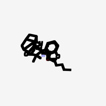 CCCCCC/N=C/O[C@]12CC3CC(C1)[C@@H](N1C(=O)C(C)(C)C1c1cccc4c1OCO4)C(C3)C2